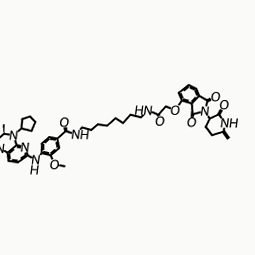 C=C1CCC(N2C(=O)c3cccc(OCC(=O)NCCCCCCCCNC(=O)c4ccc(Nc5ccc6c(n5)N(C5CCCC5)[C@H](C)C(=O)N6C)c(OC)c4)c3C2=O)C(=O)N1